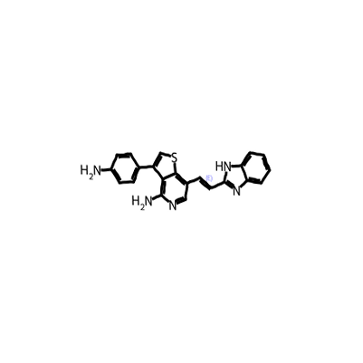 Nc1ccc(-c2csc3c(/C=C/c4nc5ccccc5[nH]4)cnc(N)c23)cc1